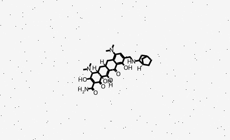 CN(C)c1cc(CNC2CC3CC[C@@H]2C3)c(O)c2c1C[C@H]1C[C@H]3[C@H](N(C)C)C(O)=C(C(N)=O)C(=O)[C@@]3(O)C(O)=C1C2=O